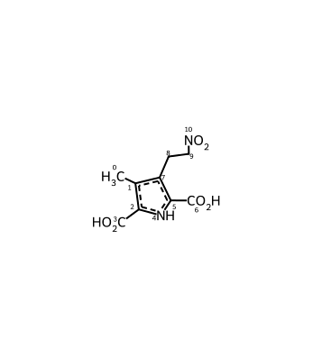 Cc1c(C(=O)O)[nH]c(C(=O)O)c1CC[N+](=O)[O-]